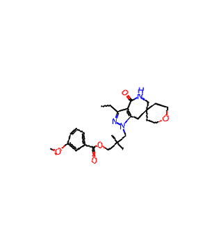 CCc1nn(CC(C)(C)COC(=O)c2cccc(OC)c2)c2c1C(=O)NCC1(CCOCC1)C2